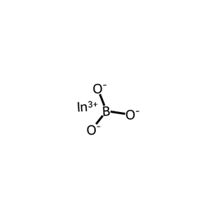 [In+3].[O-]B([O-])[O-]